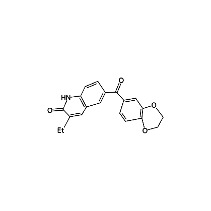 CCc1cc2cc(C(=O)c3ccc4c(c3)OCCO4)ccc2[nH]c1=O